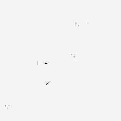 COc1ccc([C@@H]2Sc3cc(C)ccc3N(CCN(C)C)C[C@@H]2O)cc1